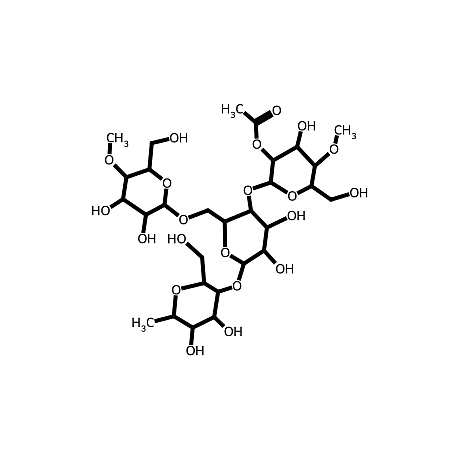 COC1C(CO)OC(OCC2OC(OC3C(CO)OC(C)C(O)C3O)C(O)C(O)C2OC2OC(CO)C(OC)C(O)C2OC(C)=O)C(O)C1O